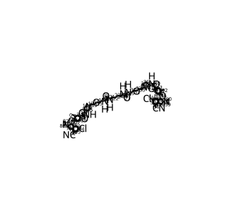 Cc1cc(S(=O)(=O)N[C@H]2CCN(CCOCCNC(=O)NCCCCNC(=O)NCCOCCN3CC[C@H](NS(=O)(=O)c4ccc(O[C@H]5c6cc(Cl)cc(C#N)c6C[C@@H]5N(C)C)c(C)c4)C3)C2)ccc1O[C@H]1c2cc(Cl)cc(C#N)c2C[C@@H]1N(C)C